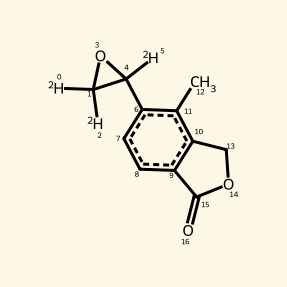 [2H]C1([2H])OC1([2H])c1ccc2c(c1C)COC2=O